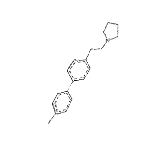 Cc1ccc(-c2ccc(CCN3CCCC3)cc2)cc1